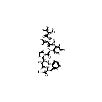 CC[C@H](C)[C@@H]([C@@H](CC(=O)N1CCC[C@H]1[C@H](OC)[C@@H](C)C(=O)N[C@@H](Cc1ccccc1)C(=O)O)OC)N(C)C(=O)[C@@H](NC(=O)C(NC)C(C)C)C(C)C